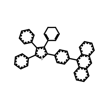 C1=CC(c2c(-c3ccc(-c4c5ccccc5cc5ccccc45)cc3)sc(-c3ccccc3)c2-c2ccccc2)=CCC1